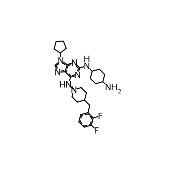 NC1CCC(Nc2nc(NN3CCC(Cc4cccc(F)c4F)CC3)c3ncn(C4CCCC4)c3n2)CC1